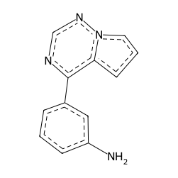 Nc1cccc(-c2ncnn3cccc23)c1